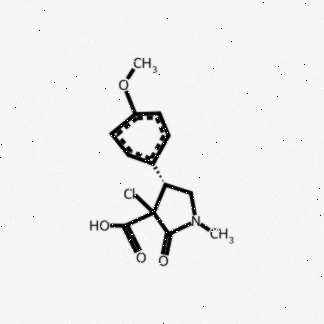 COc1ccc([C@@H]2CN(C)C(=O)C2(Cl)C(=O)O)cc1